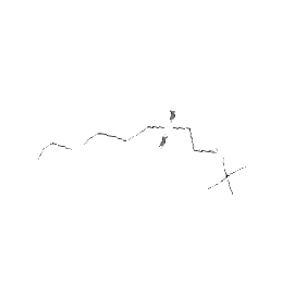 CCOCCCS(=O)(=O)CCNC(C)(C)C